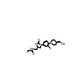 N#CC=C1CCN(c2ccc(N3CC(CNC(=O)CI)OC3=O)cc2F)CC1